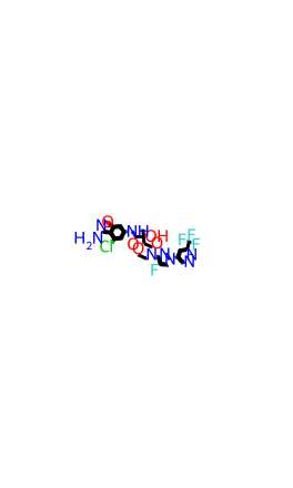 CC(O)(C(=O)Nc1cc(Cl)c2c(N)noc2c1)C1OCCN(c2nn(-c3cnnc(C(F)(F)F)c3)cc2F)C1=O